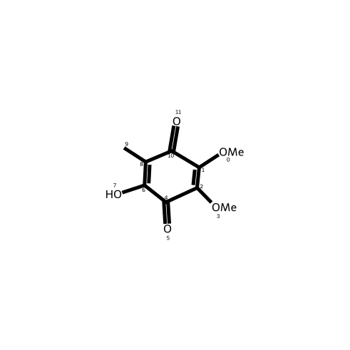 COC1=C(OC)C(=O)C(O)=C(C)C1=O